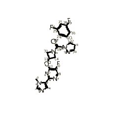 Cn1cncc1-c1ncc(F)c(OC2CN(C(=O)N3N=CC[C@H]3c3cc(F)cc(F)c3)C2)n1